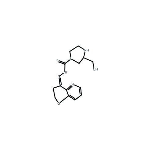 OCC1CN(C(=S)N/N=C2/CCOc3cccnc32)CCN1